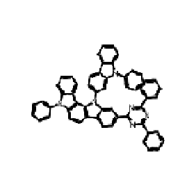 c1ccc(-c2nc(-c3ccccc3)nc(-c3ccc4c5ccc6c(c7ccccc7n6-c6ccccc6)c5n(-c5ccc6c7ccccc7n(-c7ccccc7)c6c5)c4c3)n2)cc1